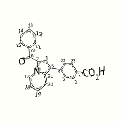 O=C(O)c1ccc(-c2cc(C(=O)c3ccccc3)n3ccccc23)cc1